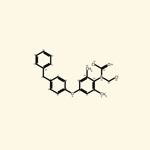 Cc1cc(Oc2ccc(Cc3ccccc3)cc2)cc(C)c1N(CCl)C(=O)Cl